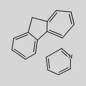 c1ccc2c(c1)Cc1ccccc1-2.c1ccncc1